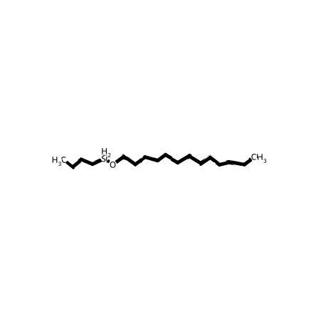 CCCCCCCCCCCCCO[SiH2]CCCC